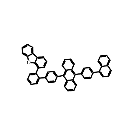 c1ccc(-c2cccc3c2oc2ccccc23)c(-c2ccc(-c3c4ccccc4c(-c4ccc(-c5cccc6ccccc56)cc4)c4ccccc34)cc2)c1